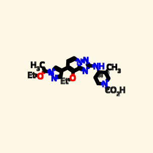 CCOc1c(-c2cnn(C(C)OCC)c2)ccn2nc(N[C@H]3CCN(C(=O)O)C[C@H]3C)nc12